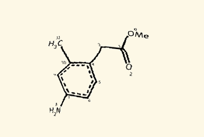 COC(=O)Cc1ccc(N)cc1C